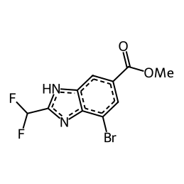 COC(=O)c1cc(Br)c2nc(C(F)F)[nH]c2c1